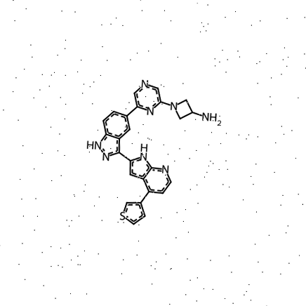 NC1CN(c2cncc(-c3ccc4[nH]nc(-c5cc6c(-c7ccsc7)ccnc6[nH]5)c4c3)n2)C1